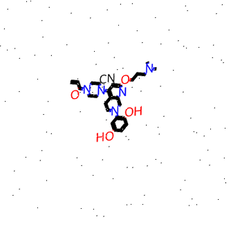 C=CC(=O)N1CCN(c2c(C#N)c(OCCCN(C)C)nc3c2CCN(c2cc(O)ccc2O)C3)CC1